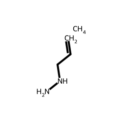 C.C=CCNN